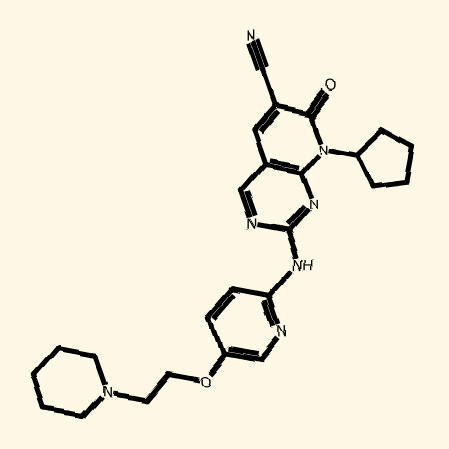 N#Cc1cc2cnc(Nc3ccc(OCCN4CCCCC4)cn3)nc2n(C2CCCC2)c1=O